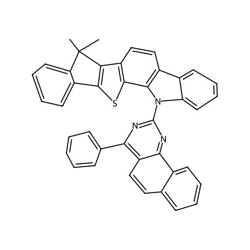 CC1(C)c2ccccc2-c2sc3c(ccc4c5ccccc5n(-c5nc(-c6ccccc6)c6ccc7ccccc7c6n5)c43)c21